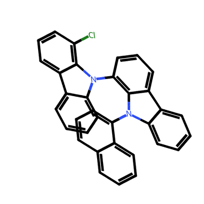 Clc1cccc2c3ccccc3n(-c3cccc4c5ccccc5n(-c5cccc6ccccc56)c34)c12